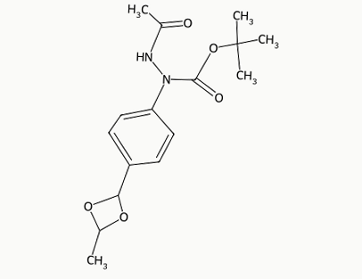 CC(=O)NN(C(=O)OC(C)(C)C)c1ccc(C2OC(C)O2)cc1